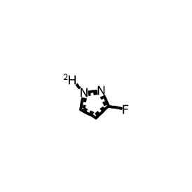 [2H]n1ccc(F)n1